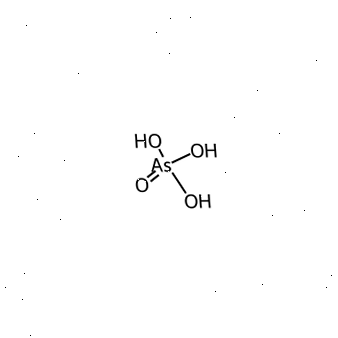 O=[As](O)(O)O